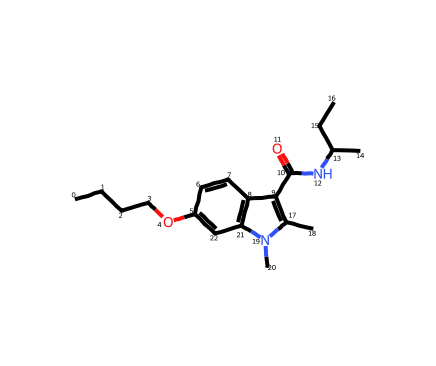 CCCCOc1ccc2c(C(=O)NC(C)CC)c(C)n(C)c2c1